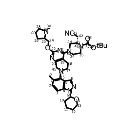 Cc1ccc2c(cnn2C2CCCCO2)c1N1CCc2c(nc(OCC3CCCN3C)nc2N2CCN(C(=O)OC(C)(C)C)[C@@H](CC#N)C2)C1